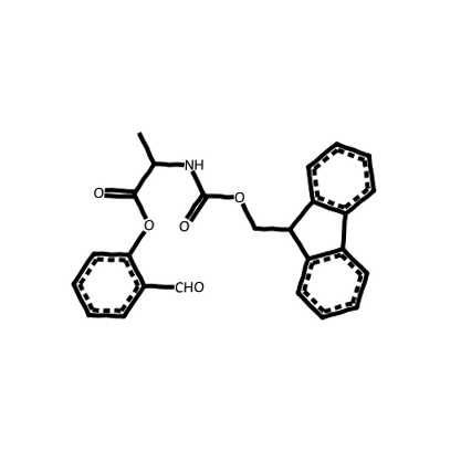 CC(NC(=O)OCC1c2ccccc2-c2ccccc21)C(=O)Oc1ccccc1C=O